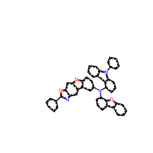 c1ccc(-c2nc3cc4c(cc3o2)oc2ccc(N(c3cccc5c3oc3ccccc35)c3cccc5c3c3ccccc3n5-c3ccccc3)cc24)cc1